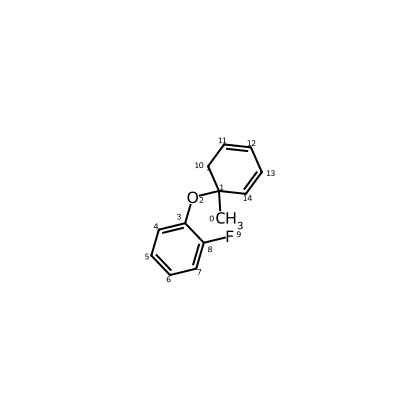 CC1(Oc2ccccc2F)[CH]C=CC=C1